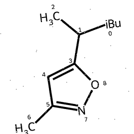 CCC(C)C(C)c1cc(C)no1